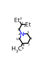 CCC(CC)CN1CCCC(C)C1